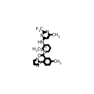 Cc1ccc(-n2nccn2)c(C(=O)N2CCC[C@H](Nc3cc(C)nc(C(F)(F)F)n3)[C@H]2C)c1